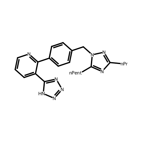 CCCCCc1nc(CCC)nn1Cc1ccc(-c2ncccc2-c2nnn[nH]2)cc1